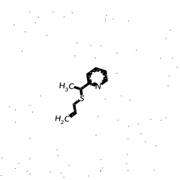 C=CCSC(C)c1ccccn1